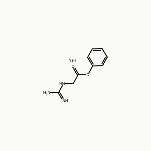 N=C(N)NCC(=O)Oc1ccccc1.[NaH]